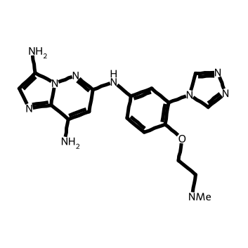 CNCCOc1ccc(Nc2cc(N)c3ncc(N)n3n2)cc1-n1cnnc1